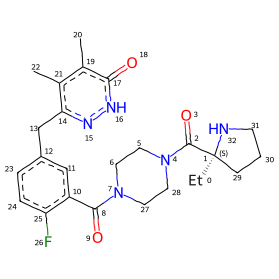 CC[C@@]1(C(=O)N2CCN(C(=O)c3cc(Cc4n[nH]c(=O)c(C)c4C)ccc3F)CC2)CCCN1